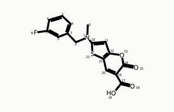 CN(Cc1cccc(F)c1)c1cc2oc(=O)c(C(=O)O)cc2s1